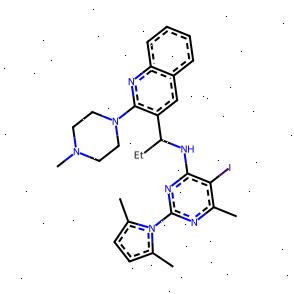 CCC(Nc1nc(-n2c(C)ccc2C)nc(C)c1I)c1cc2ccccc2nc1N1CCN(C)CC1